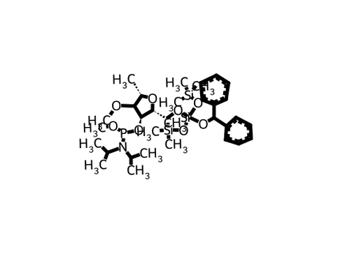 COC1[C@H](C)O[C@H](CO[Si](OC(c2ccccc2)c2ccccc2)(O[Si](C)(C)C)O[Si](C)(C)C)[C@@H]1OP(OC)N(C(C)C)C(C)C